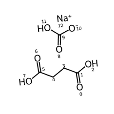 O=C(O)CCC(=O)O.O=C([O-])O.[Na+]